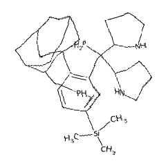 C[Si](C)(C)c1ccc(C23CC4CC(CC(C4)C2CP)C3)c(C(P)(C2CCCN2)C2CCCN2)c1